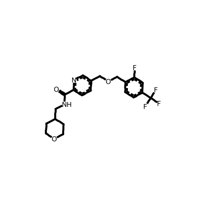 O=C(NCC1CCOCC1)c1ccc(COCc2ccc(C(F)(F)F)cc2F)cn1